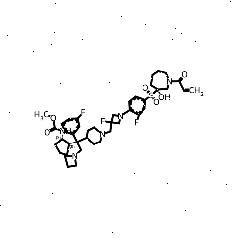 C=CC(=O)N1CCCC[C@](O)(S(=O)(=O)c2ccc(N3CC(F)(CN4CCC(C(CN5CCC5)(c5cccc(F)c5)[C@H]5CCC[C@@H]5NC(=O)OC)CC4)C3)c(F)c2)C1